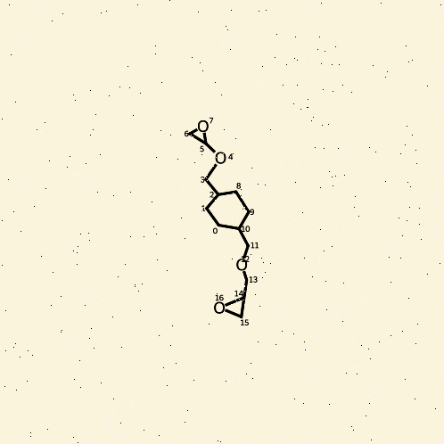 C1CC(COC2CO2)CCC1COCC1CO1